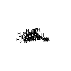 CN(C)c1cc(NC(=O)CNC2CC3(CCC3)C2)c(O)c2c1C[C@H]1C[C@H]3[C@H](N(C)C)C(O)=C(C(N)=O)C(=O)[C@@]3(O)C(O)=C1C2=O